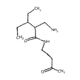 CCC(CC)C(CN)C(=O)NCCC(C)=O